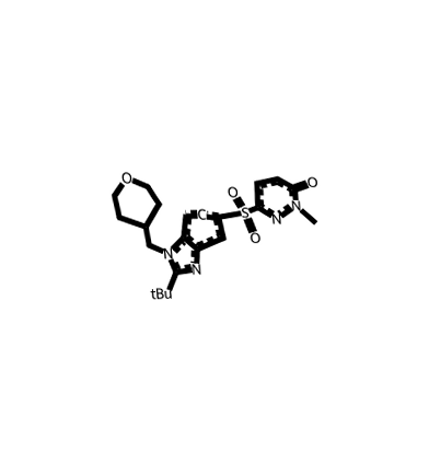 Cn1nc(S(=O)(=O)c2ccc3c(c2)nc(C(C)(C)C)n3CC2CCOCC2)ccc1=O